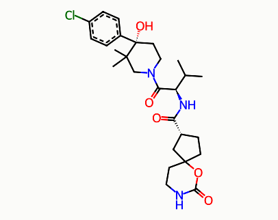 CC(C)[C@@H](NC(=O)[C@@H]1CCC2(CCNC(=O)O2)C1)C(=O)N1CC[C@](O)(c2ccc(Cl)cc2)C(C)(C)C1